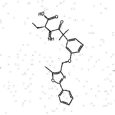 CC[C@H](C(=N)C(=O)C(C)(C)c1cccc(OCc2nc(-c3ccccc3)oc2C)c1)C(=O)O